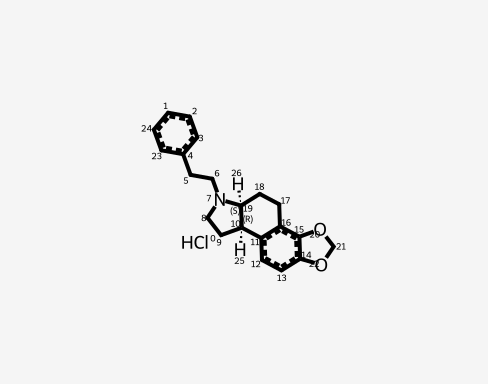 Cl.c1ccc(CCN2CC[C@@H]3c4ccc5c(c4CC[C@@H]32)OCO5)cc1